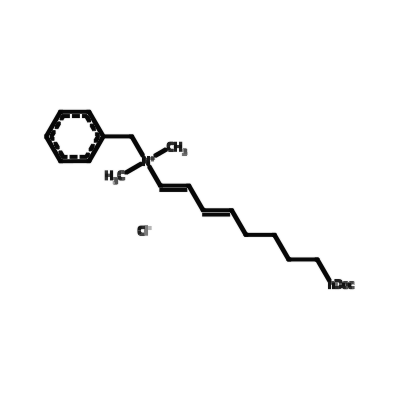 CCCCCCCCCCCCCC/C=C/C=C/[N+](C)(C)Cc1ccccc1.[Cl-]